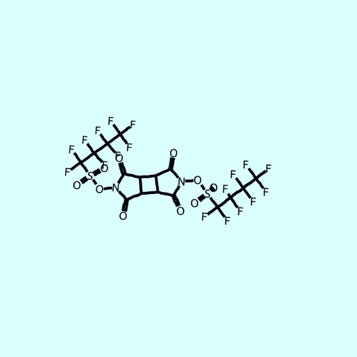 O=C1C2C(C(=O)N1OS(=O)(=O)C(F)(F)C(F)(F)C(F)(F)C(F)(F)F)C1C(=O)N(OS(=O)(=O)C(F)(F)C(F)(F)C(F)(F)C(F)(F)F)C(=O)C21